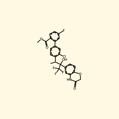 COC(=O)c1ccc(F)cc1-c1ccc(C(C)C(O)(c2ccc3c(c2)NC(=O)CO3)C(F)(F)F)c(Cl)c1